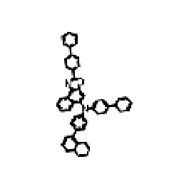 C1=CCC(C2=CC=C(N(c3ccc(C4=C5C=CC=CC5CC=C4)cc3)c3cc4oc(-c5ccc(-c6ccccc6)cc5)nc4c4ccccc34)CC2)C=C1